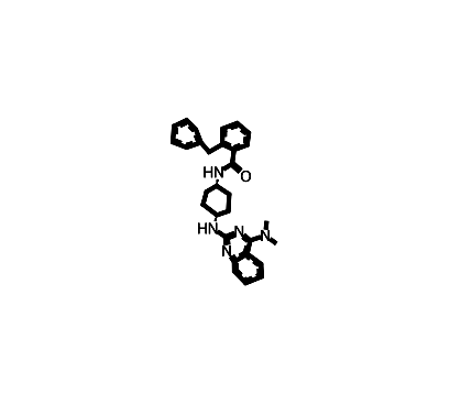 CN(C)c1nc(N[C@H]2CC[C@@H](NC(=O)c3ccccc3Cc3ccccc3)CC2)nc2ccccc12